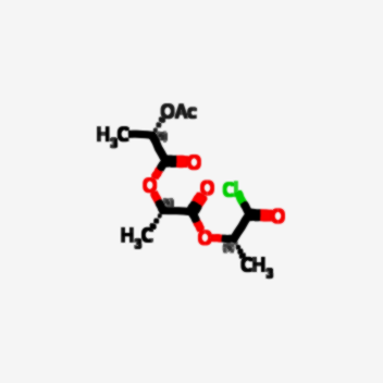 CC(=O)O[C@@H](C)C(=O)O[C@@H](C)C(=O)O[C@@H](C)C(=O)Cl